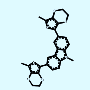 Cc1sc(-c2ccc3c(c2)c2cc(-c4sc(C)c5c4OCCO5)ccc2n3C)c2c1OCCO2